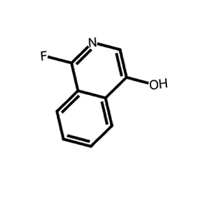 Oc1cnc(F)c2ccccc12